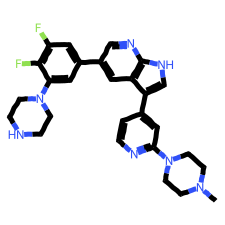 CN1CCN(c2cc(-c3c[nH]c4ncc(-c5cc(F)c(F)c(N6CCNCC6)c5)cc34)ccn2)CC1